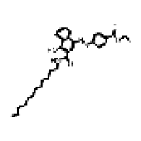 CCCCCCCCCCCCNC(=O)c1cc(/N=N/c2ccc(C(=O)OCC)cc2)c2ccccc2c1O